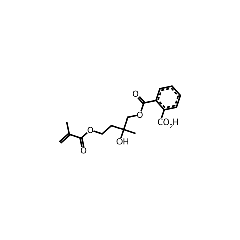 C=C(C)C(=O)OCCC(C)(O)COC(=O)c1ccccc1C(=O)O